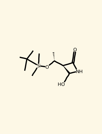 C[C@@H](O[Si](C)(C)C(C)(C)C)[C@H]1C(=O)NC1O